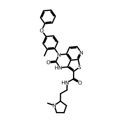 Cc1cc(Oc2ccccc2)ccc1N1C(=O)Nc2c(C(=O)NCCC3CCCN3C)sc3nccc1c23